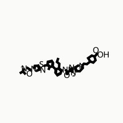 CCCc1c(NC(=O)c2nc3c(n2C)CCN(CCC2CCC(C(=O)O)CC2)C3)cccc1-c1cccc(-c2nc3c(s2)CN(C(=O)CN(C)C(C)C)C3)c1C